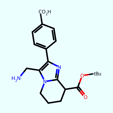 CC(C)(C)OC(=O)C1CCCn2c1nc(-c1ccc(C(=O)O)cc1)c2CN